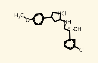 COc1ccc(C2CCC(NC[C@H](O)c3cccc(Cl)c3)C2)cc1.Cl